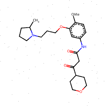 COc1ccc(NC(=O)CC(=O)C2CCOCC2)cc1OCCCN1CCCC1C